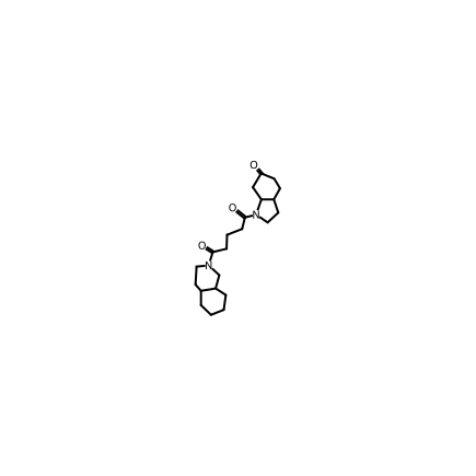 O=C1CCC2CCN(C(=O)CCCC(=O)N3CCC4CCCCC4C3)C2C1